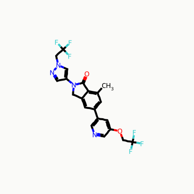 Cc1cc(-c2cncc(OCC(F)(F)F)c2)cc2c1C(=O)N(c1cnn(CC(F)(F)F)c1)C2